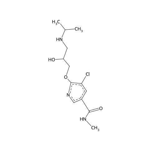 CNC(=O)c1cnc(OCC(O)CNC(C)C)c(Cl)c1